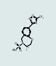 C[C@H]1COc2cc(-c3noc(C(F)(F)F)n3)ccc2CN1S(=O)(=O)C(C)(C)C